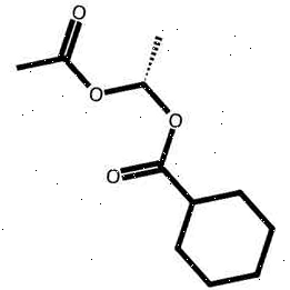 CC(=O)O[C@H](C)OC(=O)C1CCCCC1